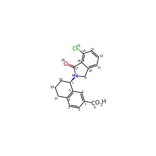 O=C(O)c1ccc2c(c1)[C@H](N1Cc3cccc(Cl)c3C1=O)CCC2